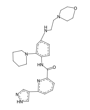 O=C(Nc1ccc(NCCN2CCOCC2)cc1N1CCCCC1)c1cccc(-c2cn[nH]c2)n1